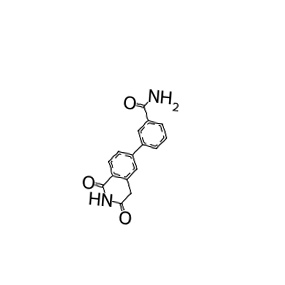 NC(=O)c1cccc(-c2ccc3c(c2)CC(=O)NC3=O)c1